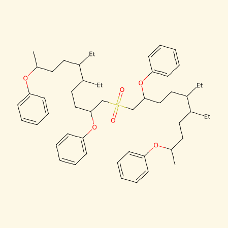 CCC(CCC(C)Oc1ccccc1)C(CC)CCC(CS(=O)(=O)CC(CCC(CC)C(CC)CCC(C)Oc1ccccc1)Oc1ccccc1)Oc1ccccc1